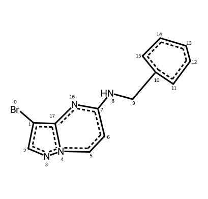 Brc1cnn2ccc(NCc3ccccc3)nc12